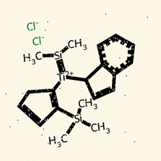 C[Si](C)=[Ti+2]([C]1=C([Si](C)(C)C)C=CC1)[CH]1C=Cc2ccccc21.[Cl-].[Cl-]